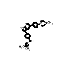 CN1CCN(c2ccc(-c3cnc4[nH]cc(-c5ccc(C(=O)N6CC(C)(C)C6)cc5)c4c3)cc2)CC1